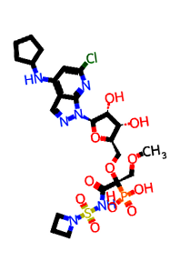 COC[C@](OC[C@H]1O[C@@H](n2ncc3c(NC4CCCC4)cc(Cl)nc32)[C@H](O)[C@@H]1O)(C(=O)NS(=O)(=O)N1CCC1)P(=O)(O)O